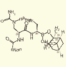 CCCCCCCCCC(=O)N[C@@H](CN(CCCCC)C(N)=O)C(=O)N[C@@H](CC(C)C)B1O[C@@H]2C[C@@H]3C[C@@H](C3(C)C)[C@]2(C)O1